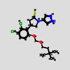 C[Si](C)(C)CCOCOc1ccc(Cl)c(Cl)c1[C@H]1CC(=S)N(c2cn[nH]c2)C1